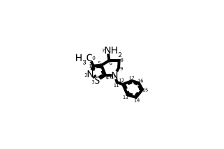 Cc1nsc2c1C(N)CCN2Cc1ccccc1